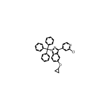 Clc1cc(-c2nn(C(c3ccccc3)(c3ccccc3)c3ccccc3)c3ccc(OC4CC4)cc23)ccn1